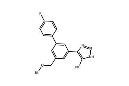 CCOCc1cc(-c2ccc(F)cc2)cc(-c2nn[nH]c2C#N)c1